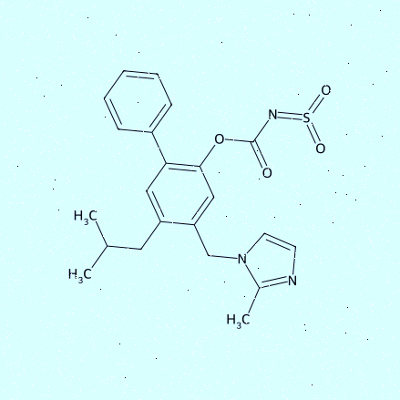 Cc1nccn1Cc1cc(OC(=O)N=S(=O)=O)c(-c2ccccc2)cc1CC(C)C